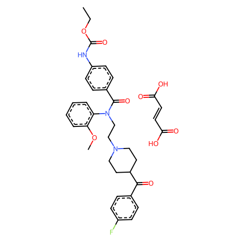 CCOC(=O)Nc1ccc(C(=O)N(CCN2CCC(C(=O)c3ccc(F)cc3)CC2)c2ccccc2OC)cc1.O=C(O)/C=C/C(=O)O